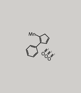 [C]=O.[C]=O.[C]=O.[Mn][C]1=C(c2ccccc2)C=CC1